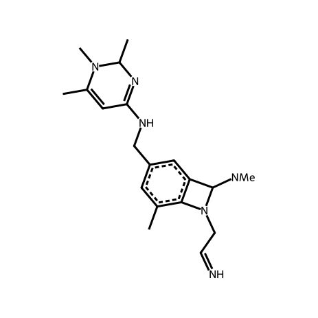 CNC1c2cc(CNC3=NC(C)N(C)C(C)=C3)cc(C)c2N1CC=N